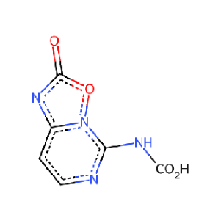 O=C(O)Nc1nccc2nc(=O)on12